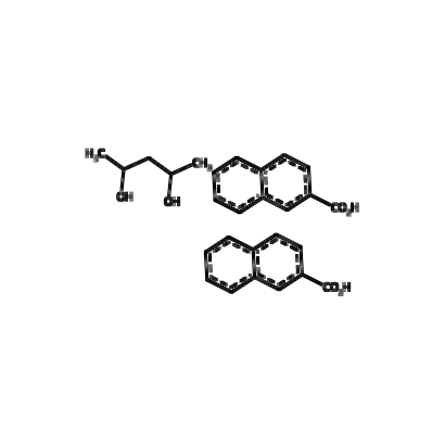 CC(O)CC(C)O.O=C(O)c1ccc2ccccc2c1.O=C(O)c1ccc2ccccc2c1